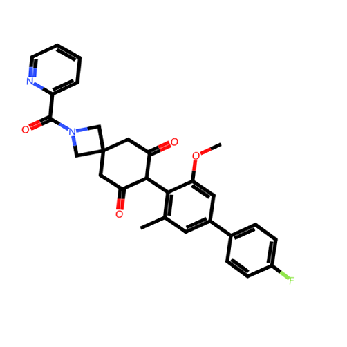 COc1cc(-c2ccc(F)cc2)cc(C)c1C1C(=O)CC2(CC1=O)CN(C(=O)c1ccccn1)C2